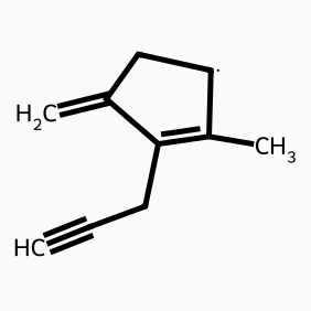 C#CCC1=C(C)[CH]CC1=C